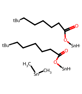 CC(C)(C)CCCCCC(=O)[O][SnH].CC(C)(C)CCCCCC(=O)[O][SnH].[CH3][Sn][CH3]